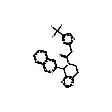 O=C(Cc1nc(C(F)(F)F)cs1)N1CCc2[nH]cnc2[C@H]1c1cc2ccccc2cn1